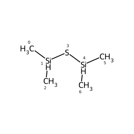 C[SiH](C)S[SiH](C)C